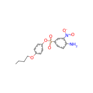 CCCCOc1ccc(OS(=O)(=O)c2ccc(N)c([N+](=O)[O-])c2)cc1